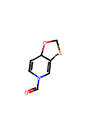 O=CN1C=CC2OCSC2=C1